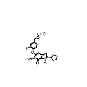 CCCn1c(Oc2ccc(COC=O)cc2F)nc2nc(C3CCCC3)[nH]c2c1=O